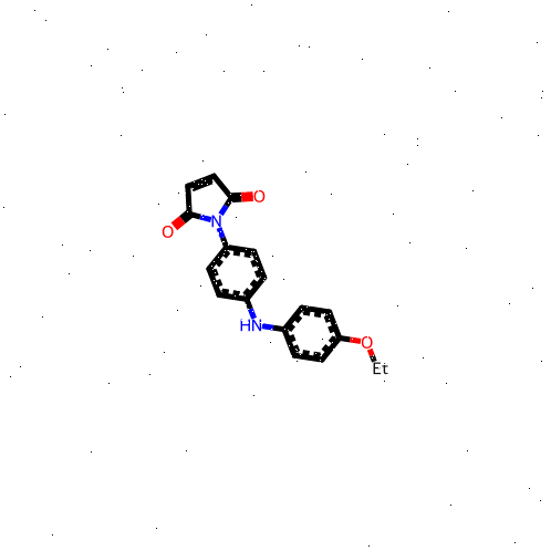 CCOc1ccc(Nc2ccc(N3C(=O)C=CC3=O)cc2)cc1